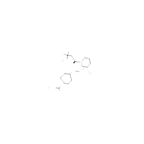 CC(C)[C@H]1CC[C@@H](OC[C@H]2[C@@H](N)CCCN2C(=O)CC(C)(C)O)CC1